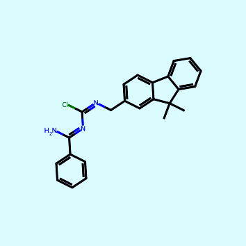 CC1(C)c2ccccc2-c2ccc(C/N=C(Cl)\N=C(/N)c3ccccc3)cc21